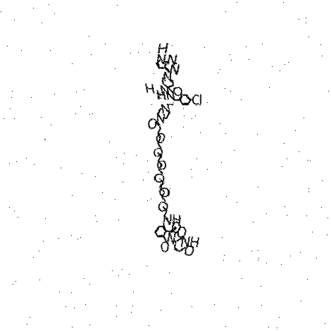 NC1(C(=O)N[C@@H](CCN2CCN(C(=O)CCOCCOCCOCCOCCOCCOCCNc3cccc4c3C(=O)N(C3CCC(=O)NC3=O)C4=O)CC2)c2ccc(Cl)cc2)CCN(c2ncnc3[nH]ccc23)CC1